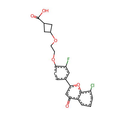 O=C(O)C1CC(OCCOc2ccc(-c3cc(=O)c4cccc(Cl)c4o3)cc2F)C1